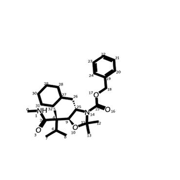 CNC(=O)[C@@](C)(C(C)C)[C@@H]1OC(C)(C)N(C(=O)OCc2ccccc2)[C@H]1CC1CCCCC1